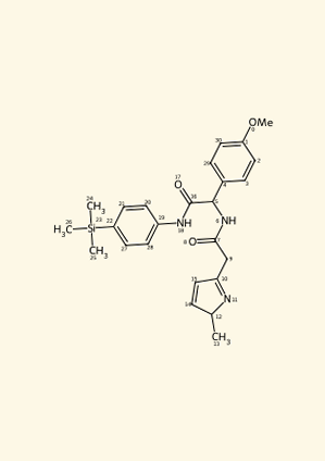 COc1ccc(C(NC(=O)CC2=NC(C)C=C2)C(=O)Nc2ccc([Si](C)(C)C)cc2)cc1